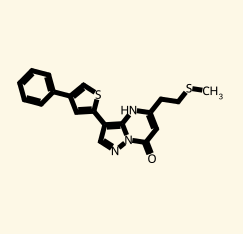 CSCCc1cc(=O)n2ncc(-c3cc(-c4ccccc4)cs3)c2[nH]1